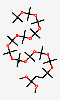 CO[Si](C)(CC[Si](C)(C)O[Si](C)(C)O[Si](C)(C)O[Si](C)(C)O[Si](C)(C)O[Si](C)(C)O[Si](C)(C)O[Si](C)(C)O[Si](C)(C)O[Si](C)(C)O[Si](C)(C)O[Si](C)(C)C)OC